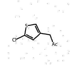 CC(=O)Cc1csc(Cl)c1